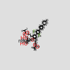 C=C(C)C(=O)OCCCc1cc(-c2c(F)cc(-c3ccc(C4CCC(C)CC4)cc3)cc2F)cc(CCCOC(=O)C(=C)C)c1OCCC(CO)(CO)CCCC